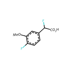 COc1cc(C(F)C(=O)O)ccc1F